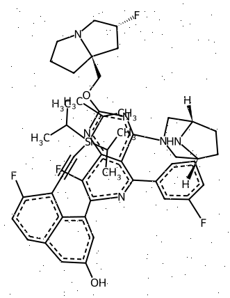 CC(C)[Si](C#Cc1c(F)ccc2cc(O)cc(-c3nc(-c4cccc(F)c4)c4c(N5C[C@H]6CC[C@@H](C5)N6)nc(OC[C@@]56CCCN5C[C@H](F)C6)nc4c3F)c12)(C(C)C)C(C)C